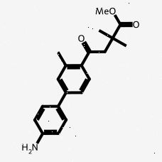 COC(=O)C(C)(C)CC(=O)c1ccc(-c2ccc(N)cc2)cc1C